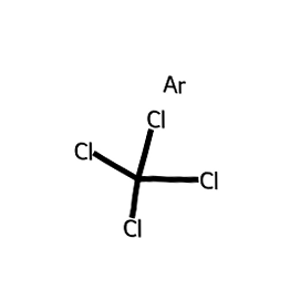 ClC(Cl)(Cl)Cl.[Ar]